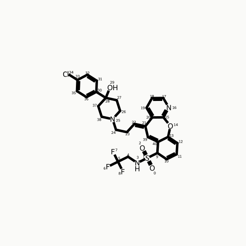 O=S(=O)(NCC(F)(F)F)C1C=CC=C2Oc3ncccc3C(=CCCN3CCC(O)(c4ccc(Cl)cc4)CC3)C=C21